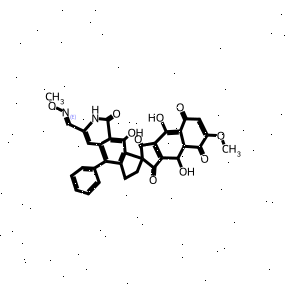 CO/N=C/c1cc2c(-c3ccccc3)c3c(c(O)c2c(=O)[nH]1)C1(CC3)C(=O)C2=C(C1=O)C(O)C1C(=O)C(OC)=CC(=O)C1=C2O